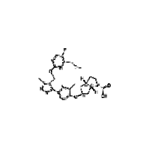 COCc1nc(OCc2c(-c3ccc(O[C@H]4C[C@@H]5CC[C@H](C(=O)O)[C@@H]5C4)c(C)n3)nnn2C)ncc1F